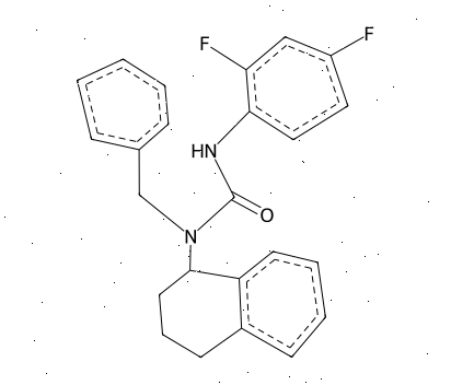 O=C(Nc1ccc(F)cc1F)N(Cc1ccccc1)C1CCCc2ccccc21